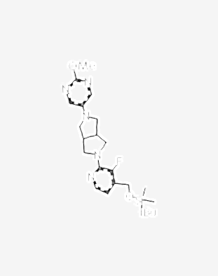 COc1ncc(N2CC3CN(c4nccc(CO[Si](C)(C)C(C)(C)C)c4F)CC3C2)cn1